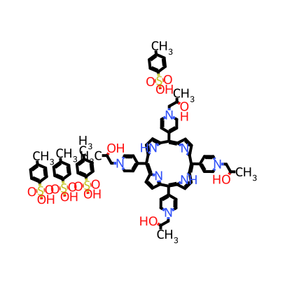 CC(O)CN1C=CC(c2c3nc(c(C4=CCN(CC(C)O)C=C4)c4ccc([nH]4)c(C4=CCN(CC(C)O)C=C4)c4nc(c(C5=CCN(CC(C)O)C=C5)c5ccc2[nH]5)C=C4)C=C3)=CC1.Cc1ccc(S(=O)(=O)O)cc1.Cc1ccc(S(=O)(=O)O)cc1.Cc1ccc(S(=O)(=O)O)cc1.Cc1ccc(S(=O)(=O)O)cc1